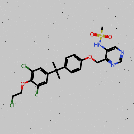 CC(C)(c1ccc(OCc2ncncc2NS(C)(=O)=O)cc1)c1cc(Cl)c(OCCCl)c(Cl)c1